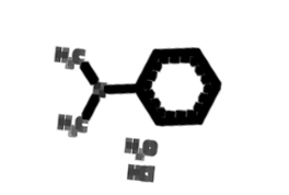 CN(C)c1ccccc1.Cl.O